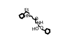 CC[C@H](CNCCC(=O)CNC(O)OCc1ccccc1)c1ccccc1